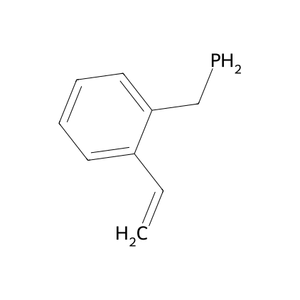 C=Cc1ccccc1CP